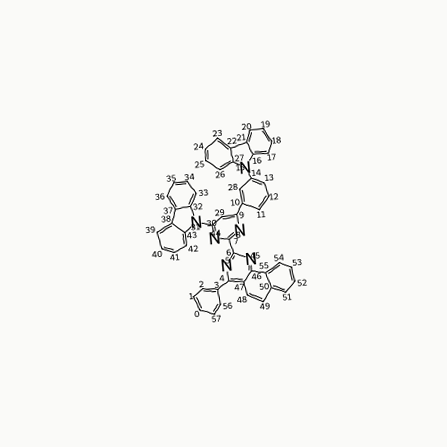 c1ccc(-c2nc(-c3nc(-c4cccc(-n5c6ccccc6c6ccccc65)c4)cc(-n4c5ccccc5c5ccccc54)n3)nc3c2ccc2ccccc23)cc1